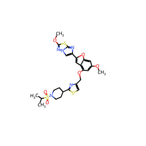 COc1cc(OCc2csc(C3CCN(S(=O)(=O)C(C)C)CC3)n2)c2cc(-c3cn4nc(OC)sc4n3)oc2c1